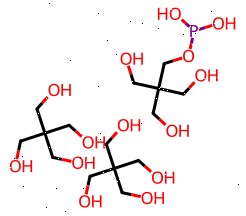 OCC(CO)(CO)CO.OCC(CO)(CO)CO.OCC(CO)(CO)COP(O)O